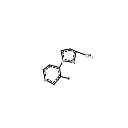 Cc1ccn(-c2ccncc2F)n1